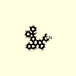 C=C/C=C(\C=C/C#N)c1ccc(-c2ccc3ccccc3c2-c2ccc(C(C)(c3ccccc3)c3ccccc3)cc2)c2ccccc12